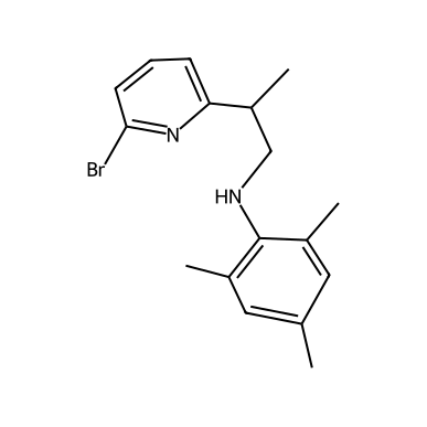 Cc1cc(C)c(NCC(C)c2cccc(Br)n2)c(C)c1